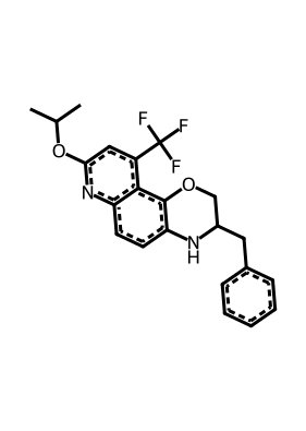 CC(C)Oc1cc(C(F)(F)F)c2c3c(ccc2n1)NC(Cc1ccccc1)CO3